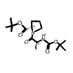 C[C@H](NC(=O)OC(C)(C)C)C(=O)N1CCC[C@H]1C(=O)OC(C)(C)C